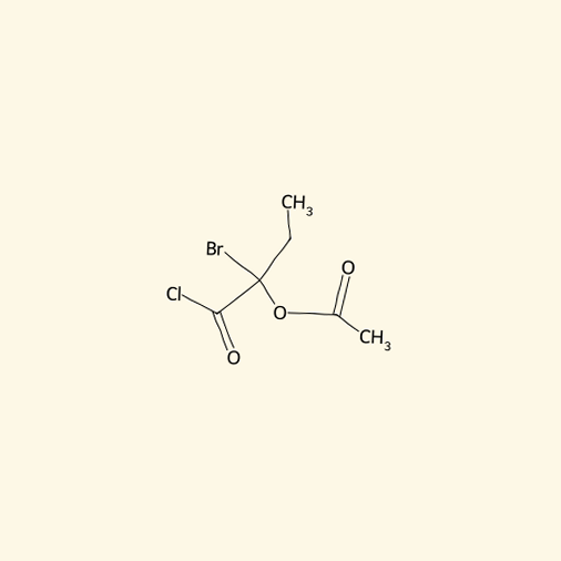 CCC(Br)(OC(C)=O)C(=O)Cl